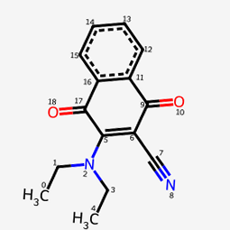 CCN(CC)C1=C(C#N)C(=O)c2ccccc2C1=O